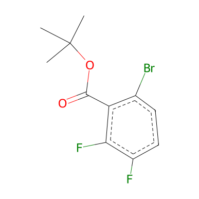 CC(C)(C)OC(=O)c1c(Br)ccc(F)c1F